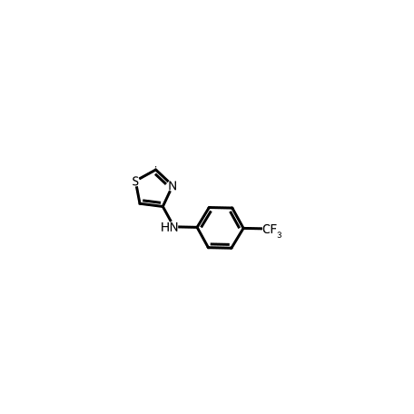 FC(F)(F)c1ccc(Nc2cs[c]n2)cc1